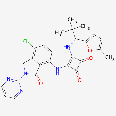 Cc1ccc([C@H](Nc2c(Nc3ccc(Cl)c4c3C(=O)N(c3ncccn3)C4)c(=O)c2=O)C(C)(C)C)o1